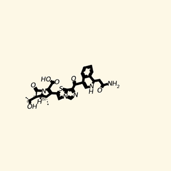 C[C@@H](O)[C@H]1C(=O)N2C(C(=O)O)=C(c3cn4cnc(C(=O)C5=CNC(CC(N)=O)c6ccccc65)c4s3)[C@H](C)[C@H]12